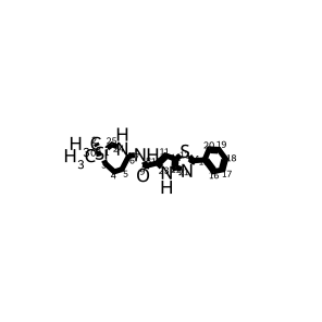 C[Si]1(C)CCCC(NC(=O)c2cc3sc(-c4ccccc4)nc3[nH]2)NC1